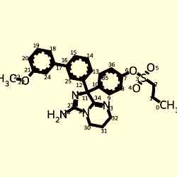 CCCS(=O)(=O)Oc1ccc(C2(c3cccc(-c4cccc(OC)c4)c3)N=C(N)N3CCCN=C32)cc1